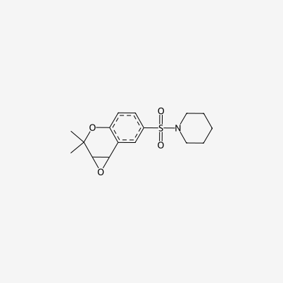 CC1(C)Oc2ccc(S(=O)(=O)N3CCCCC3)cc2C2OC21